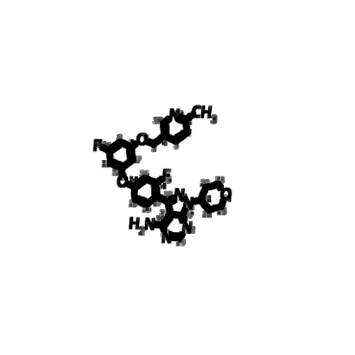 Cc1ccc(COc2cc(F)cc(Oc3ccc(-c4nn(C5CCOCC5)c5ncnc(N)c45)c(F)c3)c2)cn1